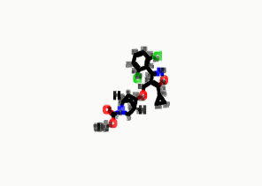 CC(C)(C)OC(=O)N1C[C@H]2C[C@@H]1C[C@H]2OCc1c(-c2c(Cl)cccc2Cl)noc1C1CC1